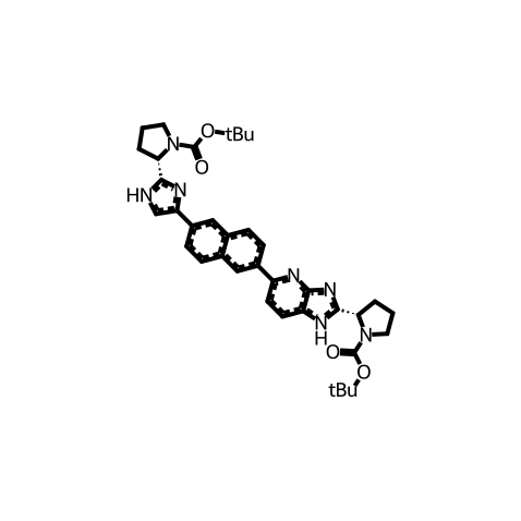 CC(C)(C)OC(=O)N1CCC[C@H]1c1nc(-c2ccc3cc(-c4ccc5[nH]c([C@@H]6CCCN6C(=O)OC(C)(C)C)nc5n4)ccc3c2)c[nH]1